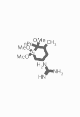 CCCC1(OC)C(C)CCC[Si]1(OC)OC.N=C(N)N